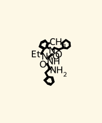 CCC1=N[C@@H](NC(=O)[C@@H](N)Cc2ccccc2)C(=O)N(CC(=O)C2CCCCC2)c2c(C)cccc21